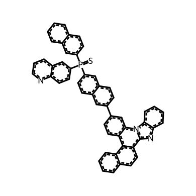 S=P(c1ccc2ccccc2c1)(c1ccc2cc(-c3ccc4c5c6ccccc6ccc5c5nc6ccccc6n5c4c3)ccc2c1)c1ccc2ncccc2c1